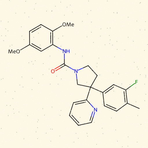 COc1ccc(OC)c(NC(=O)N2CCC(c3ccc(C)c(F)c3)(c3ccccn3)C2)c1